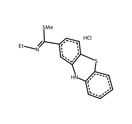 CCN=C(SC)c1ccc2c(c1)Nc1ccccc1S2.Cl